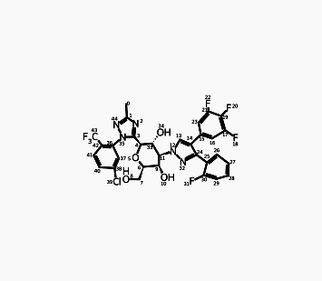 Cc1nc([C@@H]2O[C@H](CO)[C@H](O)[C@H](n3cc(-c4cc(F)c(F)c(F)c4)c(-c4ccccc4F)n3)[C@H]2O)n(-c2cc(Cl)ccc2C(F)(F)F)n1